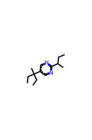 CCC(C)c1ncc(C(C)(CC)CC)cn1